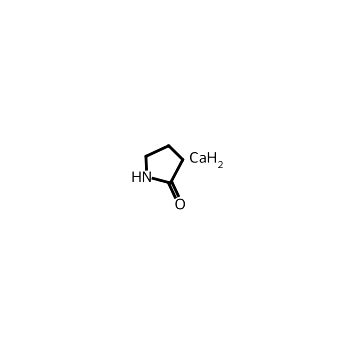 O=C1CCCN1.[CaH2]